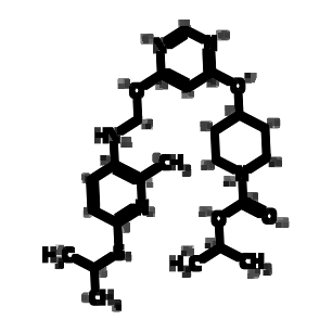 Cc1nc(SC(C)C)ccc1NCOc1cc(OC2CCN(C(=O)OC(C)C)CC2)ncn1